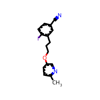 Cc1ccc(OCCCc2cc(C#N)ccc2I)cn1